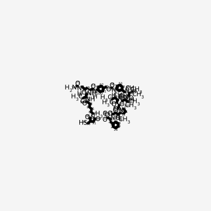 CC[C@H](C)[C@@H]([C@@H](CC(=O)N1CCC[C@H]1[C@H](OC)[C@@H](C)C(=O)N[C@@H](Cc1ccccc1)C(=O)OC)OC)N(C)C(=O)[C@@H](NC(=O)[C@H](C(C)C)N(C)Cc1cccc(NC(=O)OCc2ccc(NC(=O)[C@H](CCCNC(N)=O)NC(=O)[C@@H](NC(=O)CCCCCN3C(=O)CC(CS)C3=O)C(C)C)cc2)c1)C(C)C